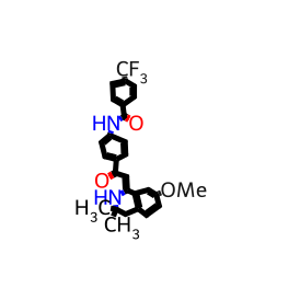 COc1ccc2c(c1)C(=CC(=O)c1ccc(NC(=O)c3ccc(C(F)(F)F)cc3)cc1)NC(C)(C)C2